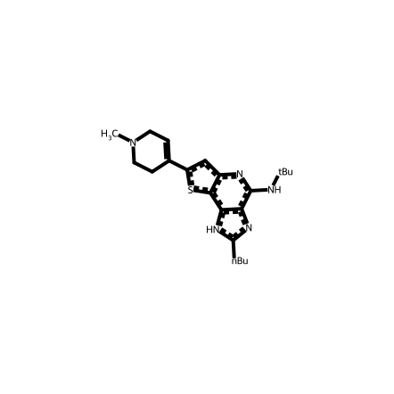 CCCCc1nc2c(NC(C)(C)C)nc3cc(C4=CCN(C)CC4)sc3c2[nH]1